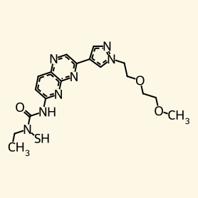 CCN(S)C(=O)Nc1ccc2ncc(-c3cnn(CCOCCOC)c3)nc2n1